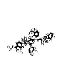 COc1ccccc1Oc1c(NS(=O)(=O)c2ccc(C(C)C)cn2)nc(N2CCOCC2)nc1OCCNS(=O)(=O)C1=CC=CCC1=S